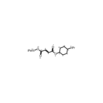 CCCC1CCC(OC(=O)/C=C/C(=O)OC(C)CCC)CC1